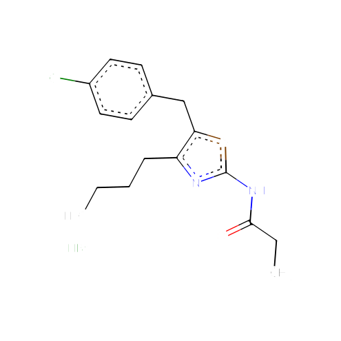 Br.CCCCc1nc(NC(=O)CC)sc1Cc1ccc(Cl)cc1